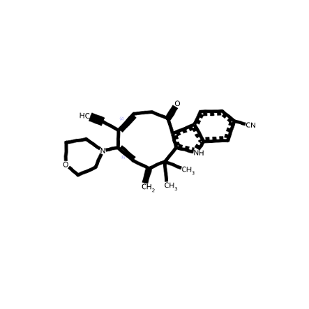 C#CC1=C/CC(=O)c2c([nH]c3cc(C#N)ccc23)C(C)(C)C(=C)/C=C\1N1CCOCC1